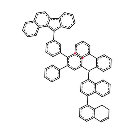 C1=Cc2cccc(-c3ccc(N(c4ccc(-c5cccc(-n6c7ccccc7c7ccc8ccccc8c76)c5)c(-c5ccccc5)c4)c4ccccc4-c4ccccc4)c4ccccc34)c2CC1